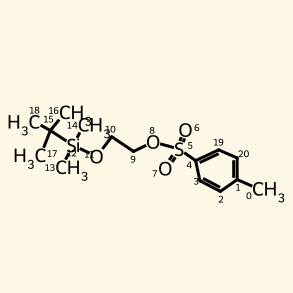 Cc1ccc(S(=O)(=O)OCCO[Si](C)(C)C(C)(C)C)cc1